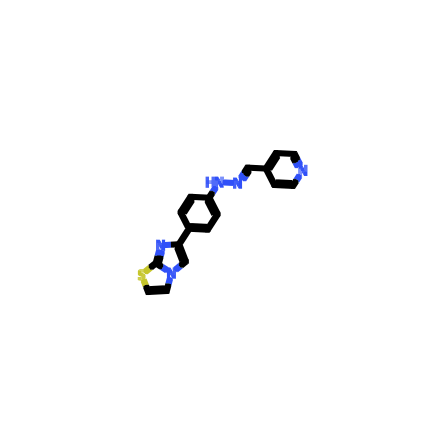 C(=NNc1ccc(-c2cn3ccsc3n2)cc1)c1ccncc1